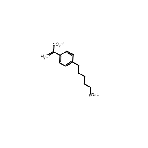 C=C(C(=O)O)c1ccc(CCCCCCCCCCCCCCC)cc1